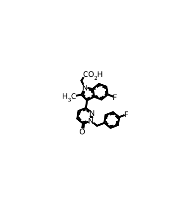 Cc1c(-c2ccc(=O)n(Cc3ccc(F)cc3)n2)c2cc(F)ccc2n1CC(=O)O